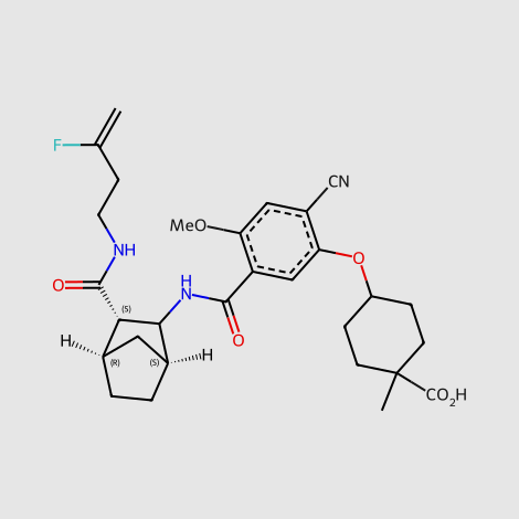 C=C(F)CCNC(=O)[C@@H]1C(NC(=O)c2cc(OC3CCC(C)(C(=O)O)CC3)c(C#N)cc2OC)[C@H]2CC[C@@H]1C2